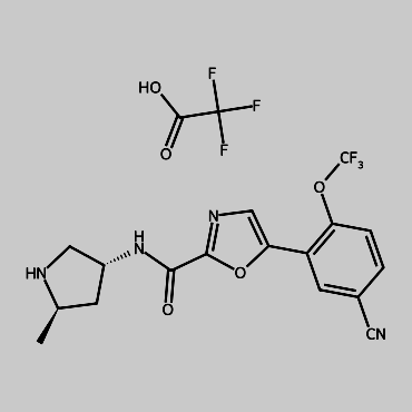 C[C@@H]1C[C@@H](NC(=O)c2ncc(-c3cc(C#N)ccc3OC(F)(F)F)o2)CN1.O=C(O)C(F)(F)F